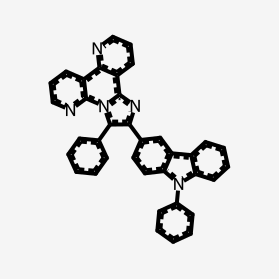 c1ccc(-c2c(-c3ccc4c(c3)c3ccccc3n4-c3ccccc3)nc3c4cccnc4c4cccnc4n23)cc1